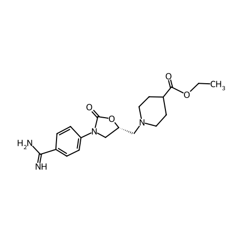 CCOC(=O)C1CCN(C[C@@H]2CN(c3ccc(C(=N)N)cc3)C(=O)O2)CC1